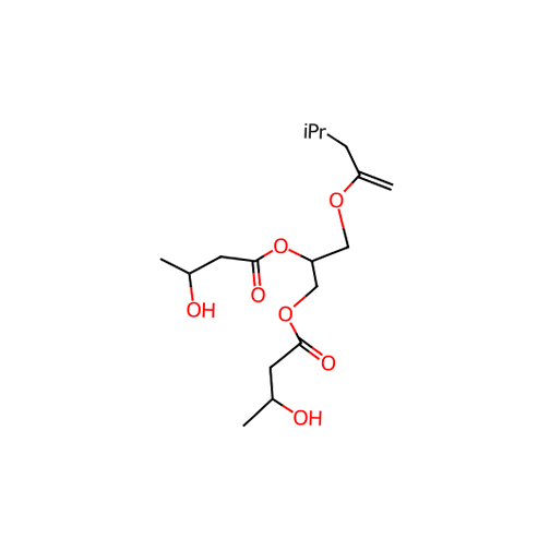 C=C(CC(C)C)OCC(COC(=O)CC(C)O)OC(=O)CC(C)O